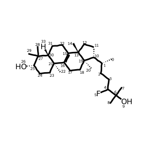 C[C@H](CCC(F)C(C)(C)O)[C@H]1CC[C@@]2(C)C3=C(CC[C@]12C)[C@@]1(C)CC[C@H](O)C(C)(C)[C@@H]1CC3